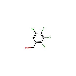 OCc1cc(Cl)c(F)c(Cl)c1F